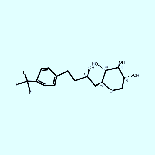 O[C@H](CCc1ccc(C(F)(F)F)cc1)C[C@@H]1OC[C@@H](O)[C@H](O)[C@H]1O